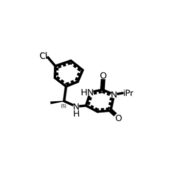 CC(C)n1c(=O)cc(N[C@@H](C)c2cccc(Cl)c2)[nH]c1=O